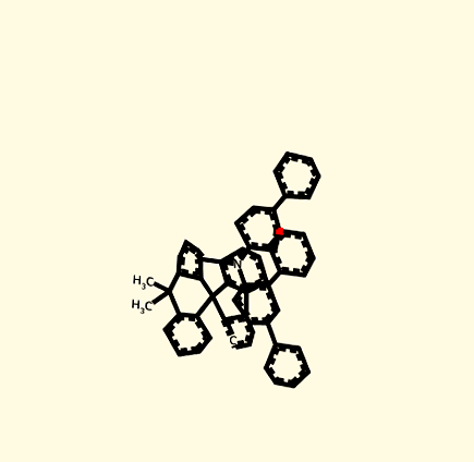 CC1(C)c2ccccc2C2(c3ccccc3-c3ccccc32)c2c(N(c3ccc(-c4ccccc4)cc3)c3ccc(-c4ccccc4)cc3-c3ccccc3)cccc21